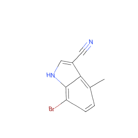 Cc1ccc(Br)c2[nH]cc(C#N)c12